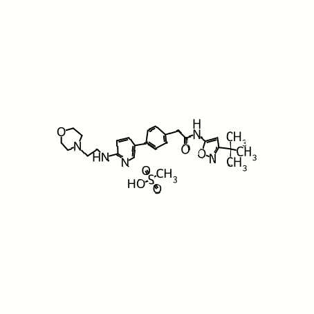 CC(C)(C)c1cc(NC(=O)Cc2ccc(-c3ccc(NCCN4CCOCC4)nc3)cc2)on1.CS(=O)(=O)O